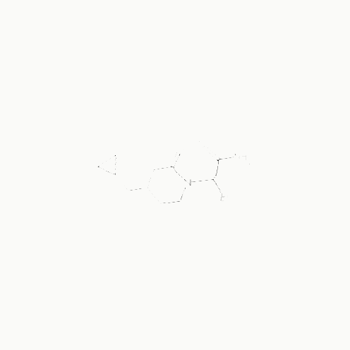 CCC(C(N)=O)N1CCC(CC2CC2)CC1=O